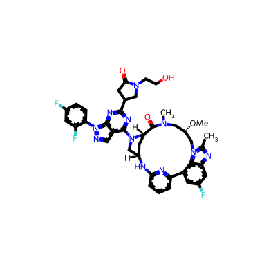 CO[C@H]1CN(C)C(=O)[C@@H]2C[C@@H](CN2c2nc(C3CC(=O)N(CCO)C3)nc3c2cnn3-c2ccc(F)cc2F)Nc2cccc(n2)-c2cc(F)cc3nc(C)n(c23)C1